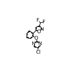 FC(F)c1cc(-c2ccccc2Oc2ncc(Cl)cn2)on1